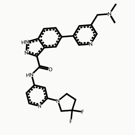 CN(C)Cc1cncc(-c2ccc3[nH]nc(C(=O)Nc4ccnc(N5CCC(F)(F)C5)c4)c3c2)c1